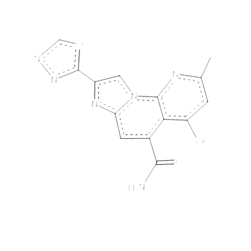 Cc1cc(C(F)(F)F)c2c(C(N)=O)cc3nc(-c4nnco4)cn3c2n1